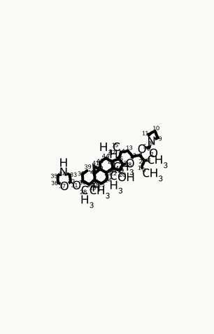 CCC(C)[C@@H](OC(=O)N1CCC1)C1C[C@@H](C)[C@H]2C(O1)[C@H](O)[C@@]1(C)C3CC[C@H]4C(C)(C)[C@@H](O[C@H]5CNCCO5)CC[C@@]45CC35CC[C@]21C